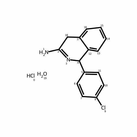 Cl.NC1=NC(c2ccc(Cl)cc2)c2ccccc2C1.O